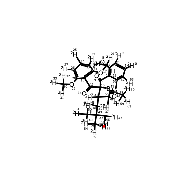 [2H]c1c([2H])c(OC)c(C(=O)C(P=O)(C(=O)c2c(OC([2H])([2H])[2H])c([2H])c([2H])c([2H])c2OC([2H])([2H])[2H])C([2H])(C([2H])([2H])[2H])C([2H])([2H])C(C([2H])([2H])[2H])(C([2H])([2H])[2H])C([2H])([2H])[2H])c(OC([2H])([2H])[2H])c1[2H]